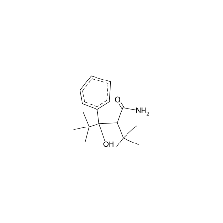 CC(C)(C)C(C(N)=O)C(O)(c1ccccc1)C(C)(C)C